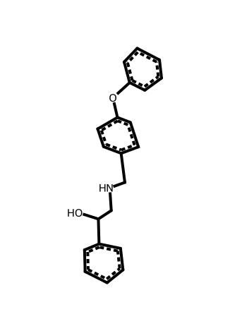 OC(CNCc1ccc(Oc2ccccc2)cc1)c1ccccc1